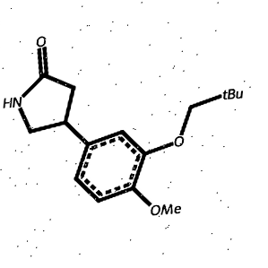 COc1ccc(C2CNC(=O)C2)cc1OCC(C)(C)C